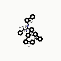 N=C(/N=C(\N=C\c1cccc2c1sc1ccccc12)c1cccc2sc3cc(-c4cccc5oc6ccc(-n7c8ccccc8c8ccccc87)cc6c45)ccc3c12)C1=CCCC=C1